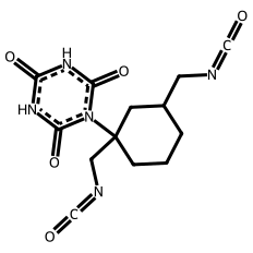 O=C=NCC1CCCC(CN=C=O)(n2c(=O)[nH]c(=O)[nH]c2=O)C1